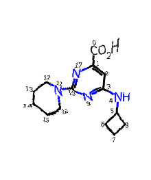 O=C(O)c1cc(NC2CCC2)nc(N2CCCCC2)n1